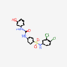 O=C(Nc1ccc(S(=O)(=O)Nc2ccc(Cl)c(Cl)c2)cc1)Nc1cccc(O)c1